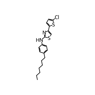 CCCCCCCc1ccc(Nc2nc(-c3ccc(Cl)s3)cs2)cc1